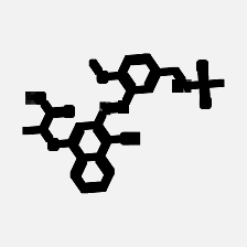 COc1ccc(CNS(C)(=O)=O)cc1N=Nc1cc(OC(C)C(=O)O)c2ccccc2c1O